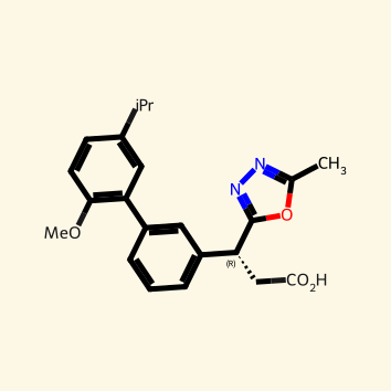 COc1ccc(C(C)C)cc1-c1cccc([C@@H](CC(=O)O)c2nnc(C)o2)c1